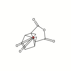 O=C1OC(=O)C23CS(=O)(=O)CC12C1C=CC3O1